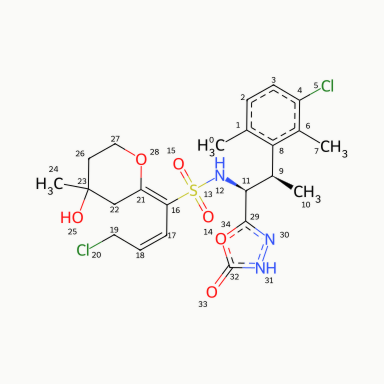 Cc1ccc(Cl)c(C)c1[C@@H](C)[C@H](NS(=O)(=O)C(/C=C\CCl)=C1/CC(C)(O)CCO1)c1n[nH]c(=O)o1